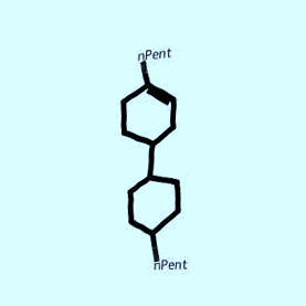 CCCCCC1=CCC(C2CCC(CCCCC)CC2)CC1